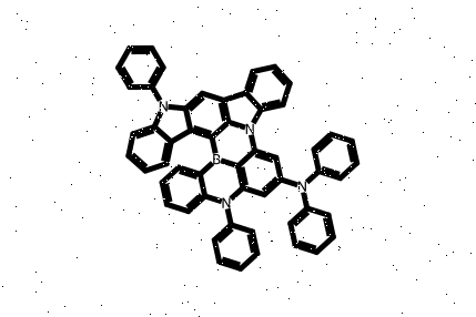 c1ccc(N(c2ccccc2)c2cc3c4c(c2)-n2c5ccccc5c5cc6c(c(c52)B4c2ccccc2N3c2ccccc2)c2ccccc2n6-c2ccccc2)cc1